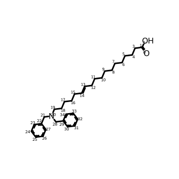 O=C(O)CCCCCCCCCC/C=C/CCCCCN(Cc1ccccc1)Cc1ccccc1